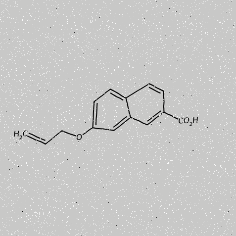 C=CCOc1ccc2ccc(C(=O)O)cc2c1